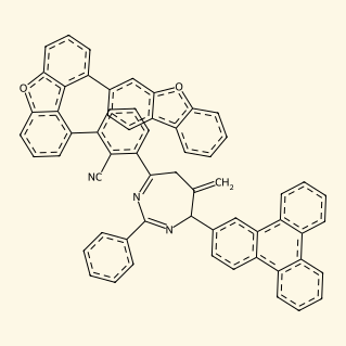 C=C1CC(c2cccc(-c3cccc4oc5cccc(-c6ccc7c(c6)oc6ccccc67)c5c34)c2C#N)=NC(c2ccccc2)=NC1c1ccc2c3ccccc3c3ccccc3c2c1